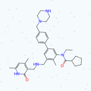 CCN(C(=O)C1CCCC1)c1cc(-c2ccc(CN3CCNCC3)cc2)cc(CNCc2c(C)cc(C)[nH]c2=O)c1C